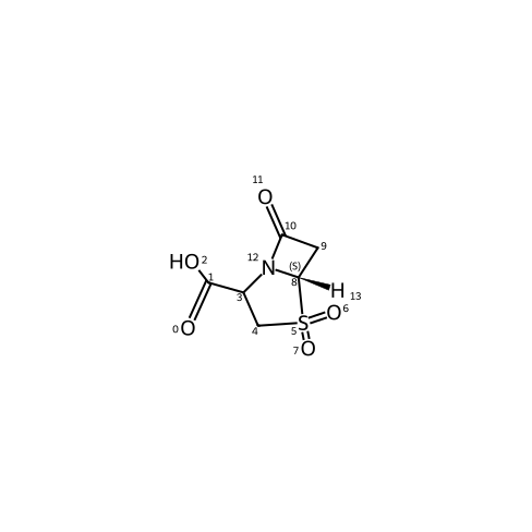 O=C(O)C1CS(=O)(=O)[C@H]2CC(=O)N12